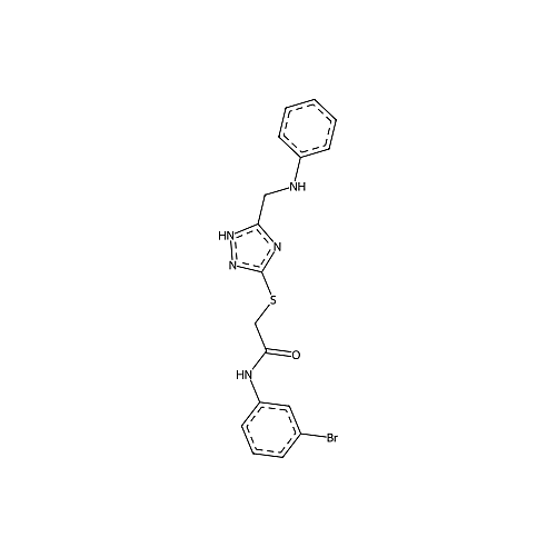 O=C(CSc1n[nH]c(CNc2ccccc2)n1)Nc1cccc(Br)c1